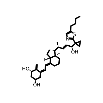 C=C1/C(=C\C=C2/CCC[C@]3(C)[C@@H]([C@@H](C)/C=C/[C@H](O)C4(c5ncc(CCCC)s5)CC4)CC[C@@H]23)C[C@@H](O)C[C@@H]1O